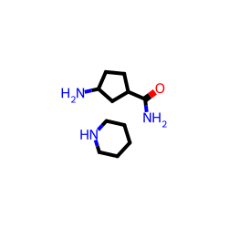 C1CCNCC1.NC(=O)C1CCC(N)C1